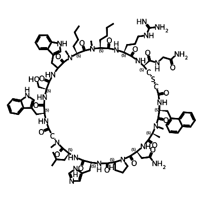 CCCC[C@H]1C(=O)N(C)[C@@H](CCCC)C(=O)N[C@@H](CCCNC(=N)N)C(=O)N[C@@H](C(=O)NCC(N)=O)CSCC(=O)N[C@@H](Cc2cccc3ccccc23)C(=O)N(C)[C@@H](C)C(=O)N[C@@H](CC(N)=O)C(=O)N2CCC[C@H]2C(=O)N[C@@H](Cc2cnc[nH]2)C(=O)N[C@@H](CC(C)C)C(=O)N(C)CC(=O)N[C@@H](Cc2c[nH]c3ccccc23)C(=O)N[C@@H](CO)C(=O)NC(Cc2c[nH]c3ccccc23)C(=O)N1C